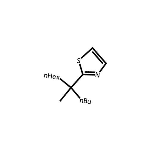 CCCCCCC(C)(CCCC)c1nccs1